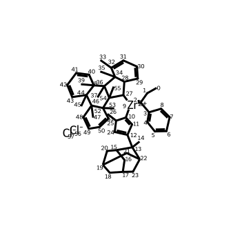 CC/[C](c1ccccc1)=[Zr+2](/[C]1=CC(C2(C)C3CC4CC(C3)CC2C4)=CC1C)[CH]1C2C=CC=C(C)C2(C)C2(C)C3(C)C=CC=CC3(C)C3(C)C=CC=CC3(C)C12C.[Cl-].[Cl-]